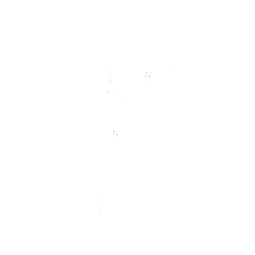 Ic1ccc(N2CC3(C2)OCCN2CCCC23)cc1